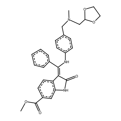 COC(=O)c1ccc2c(c1)NC(=O)/C2=C(\Nc1ccc(CN(C)CC2OCCO2)cc1)c1ccccc1